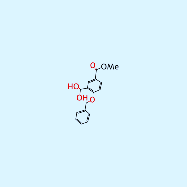 COC(=O)c1ccc(OCc2ccccc2)c(C(O)O)c1